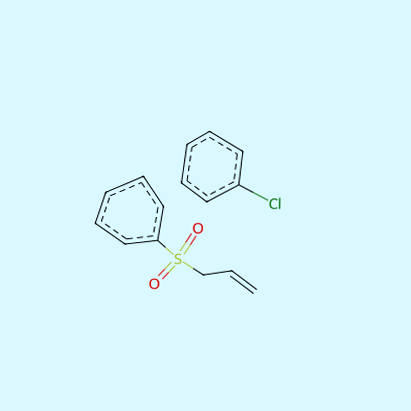 C=CCS(=O)(=O)c1ccccc1.Clc1ccccc1